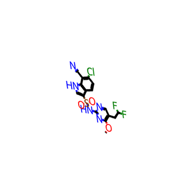 COc1nc(NS(=O)(=O)c2c[nH]c3c(C#N)c(Cl)ccc23)ncc1CC(F)F